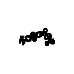 O=C(c1ccc([N+](=O)[O-])o1)N1CCN(S(=O)(=O)c2ccc(C(F)(F)F)cc2)CC1